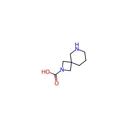 O=C(O)N1CC2(CCCNC2)C1